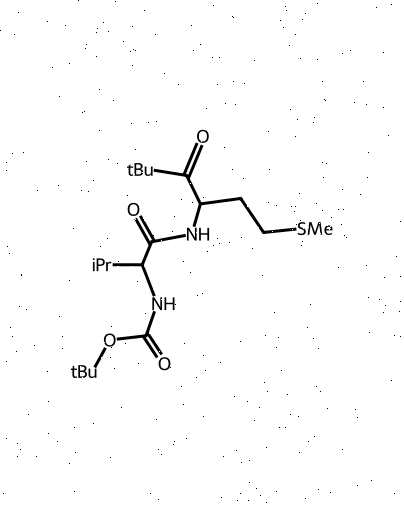 CSCCC(NC(=O)C(NC(=O)OC(C)(C)C)C(C)C)C(=O)C(C)(C)C